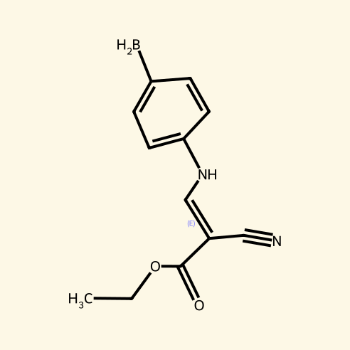 Bc1ccc(N/C=C(\C#N)C(=O)OCC)cc1